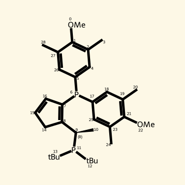 COc1c(C)cc(P(C2=C([C@@H](C)P(C(C)(C)C)C(C)(C)C)CC=C2)c2cc(C)c(OC)c(C)c2)cc1C